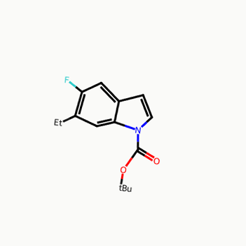 CCc1cc2c(ccn2C(=O)OC(C)(C)C)cc1F